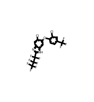 FC(F)(F)c1ccc(Oc2cc3[nH]c(C(F)(F)C(F)(F)C(F)(F)F)nc3cc2Cl)c(Cl)c1